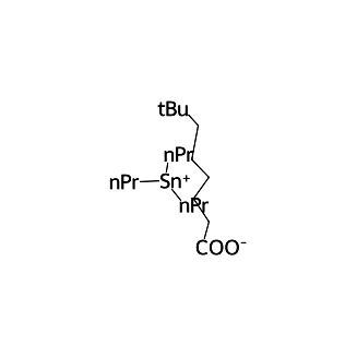 CC(C)(C)CCCCCC(=O)[O-].CC[CH2][Sn+]([CH2]CC)[CH2]CC